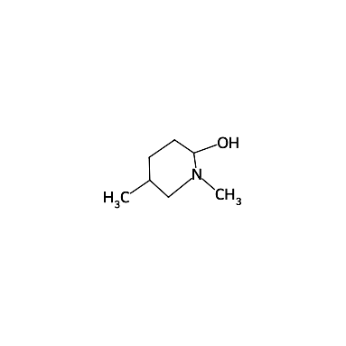 CC1CCC(O)N(C)C1